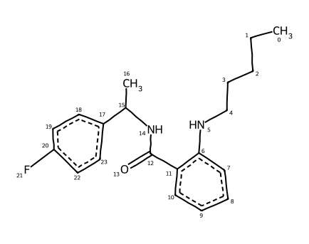 CCCCCNc1ccccc1C(=O)NC(C)c1ccc(F)cc1